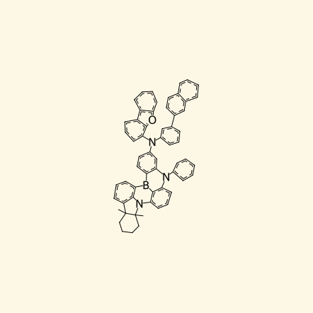 CC12CCCCC1(C)N1c3cccc4c3B(c3ccc(N(c5cccc(-c6ccc7ccccc7c6)c5)c5cccc6c5oc5ccccc56)cc3N4c3ccccc3)c3cccc2c31